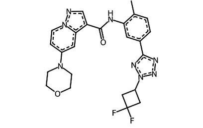 Cc1ccc(-c2nnn(C3CC(F)(F)C3)n2)cc1NC(=O)c1cnn2ccc(N3CCOCC3)cc12